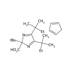 C1=CCC=C1.CCC(C)(C)C1=NC(C(=O)O)(C(C)(C)C)N=C1C(C)(C)CC